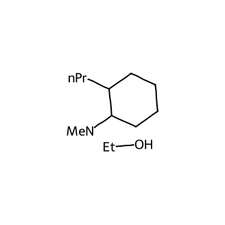 CCCC1CCCCC1NC.CCO